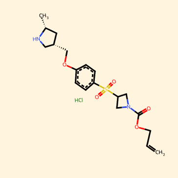 C=CCOC(=O)N1CC(S(=O)(=O)c2ccc(OC[C@@H]3CN[C@H](C)C3)cc2)C1.Cl